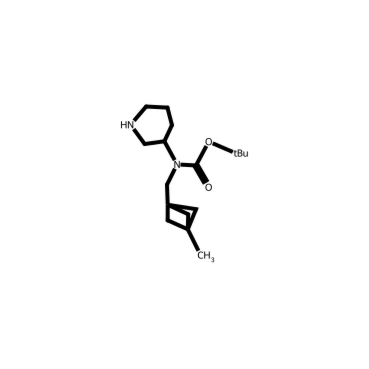 CC12CC(CN(C(=O)OC(C)(C)C)C3CCCNC3)(C1)C2